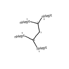 CCCCCCCC(CCCCCCC)CC(CCCCCCC)CCCCCCC